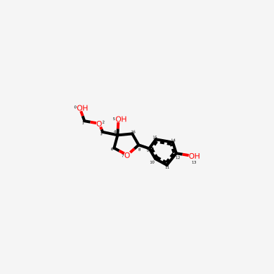 OCOCC1(O)COC(c2ccc(O)cc2)C1